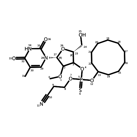 COC1C(OP(=S)(OCCC#N)OC2CCCCCCCCC2)[C@@H](CO)O[C@H]1n1cc(C)c(=O)[nH]c1=O